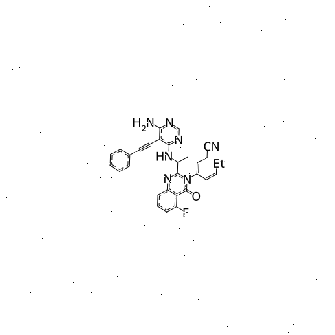 CC/C=C\C(=C/CC#N)n1c(C(C)Nc2ncnc(N)c2C#Cc2ccccc2)nc2cccc(F)c2c1=O